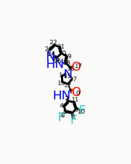 O=C(Nc1cc(F)c(F)c(F)c1)[C@H]1CCN(C(=O)c2cc3cccnc3[nH]2)C1